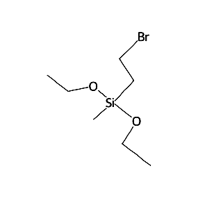 CCO[Si](C)(CCBr)OCC